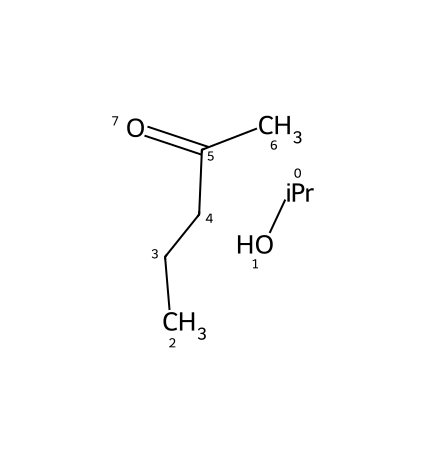 CC(C)O.CCCC(C)=O